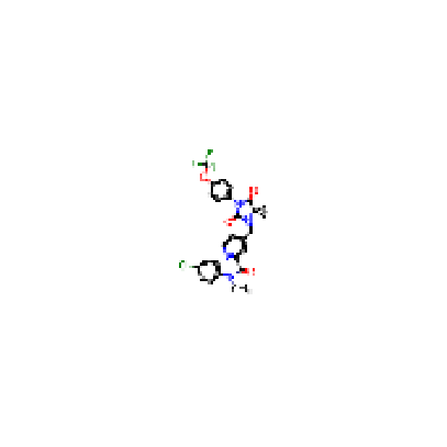 CN(C(=O)c1cc(CN2C(=O)N(c3ccc(OC(F)(F)F)cc3)C(=O)C23CC3)ccn1)c1ccc(Cl)cc1